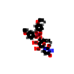 C=C[C@]1(COP(=O)(Oc2ccc(OC)cc2)Oc2ccc(OC)cc2)O[C@@H](n2ccc(=O)[nH]c2=O)[C@H](O)[C@@H]1O